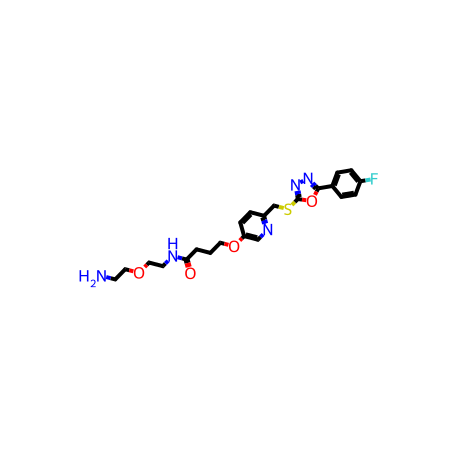 NCCOCCNC(=O)CCCOc1ccc(CSc2nnc(-c3ccc(F)cc3)o2)nc1